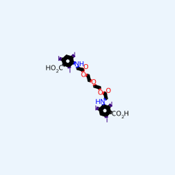 O=C(CNc1c(I)cc(I)c(C(=O)O)c1I)OCCOCCOC(=O)CNc1c(I)cc(I)c(C(=O)O)c1I